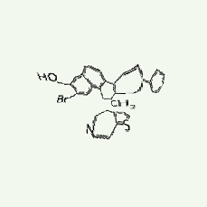 C1=Cc2sccc2CC=N1.CC1Cc2c(ccc3cc(CO)c(Br)cc23)C2=C1CC(c1ccccc1)C=C2